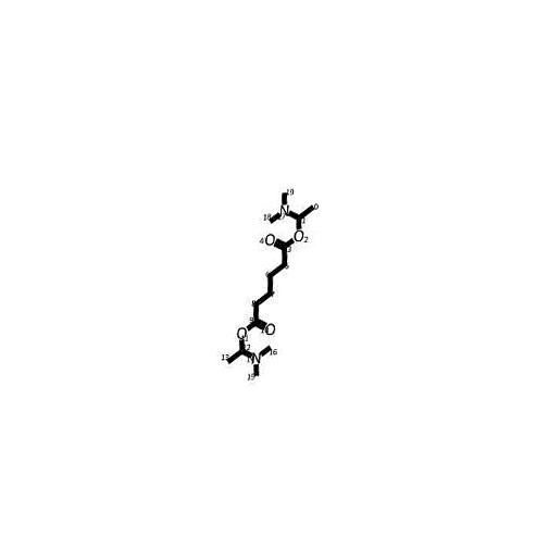 CC(OC(=O)CCCCC(=O)OC(C)N(C)C)N(C)C